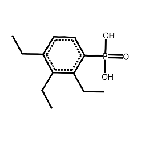 CCc1ccc(P(=O)(O)O)c(CC)c1CC